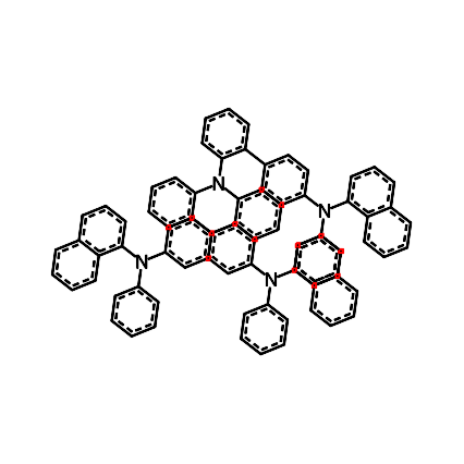 c1ccc(N(c2ccc(-c3ccccc3N(c3ccccc3-c3ccc(N(c4ccccc4)c4cccc5ccccc45)cc3)c3ccccc3-c3ccc(N(c4ccccc4)c4cccc5ccccc45)cc3)cc2)c2cccc3ccccc23)cc1